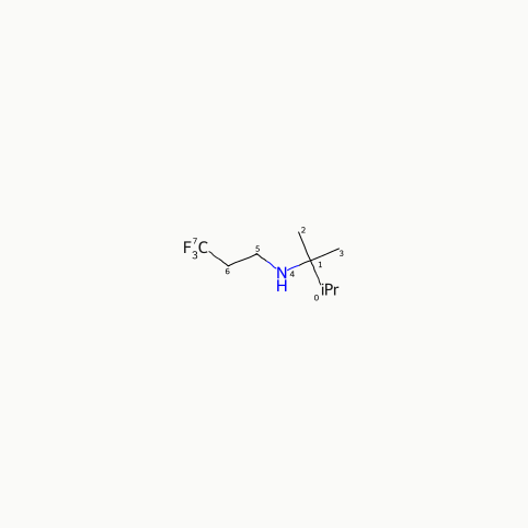 CC(C)C(C)(C)NCCC(F)(F)F